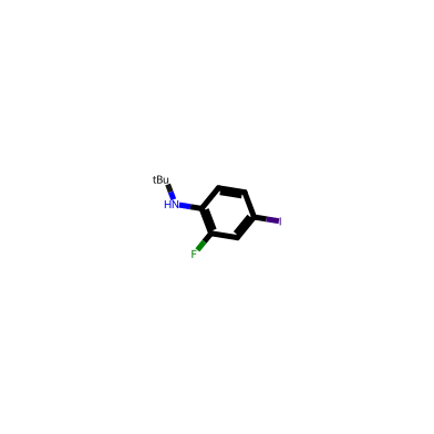 CC(C)(C)Nc1ccc(I)cc1F